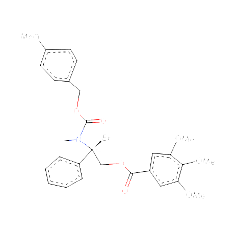 CC[C@@](COC(=O)c1cc(OC)c(OC)c(OC)c1)(c1ccccc1)N(C)C(=O)OCc1ccc(OC)cc1